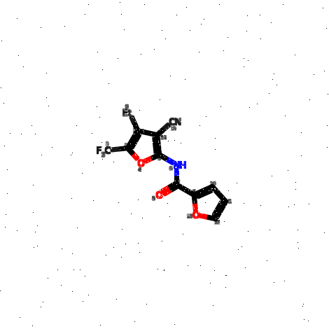 CCc1c(C(F)(F)F)oc(NC(=O)c2ccco2)c1C#N